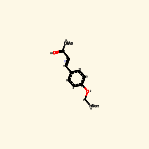 CCCCCCCCCCOc1ccc(/C=C/C(=O)OC)cc1